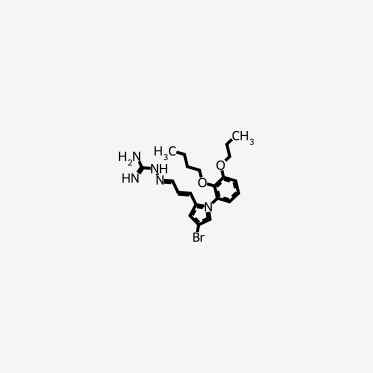 CCCCOc1c(OCCC)cccc1-n1cc(Br)cc1/C=C/C=N/NC(=N)N